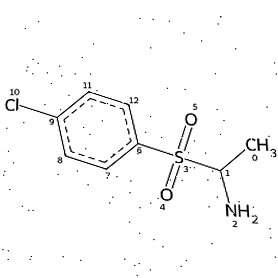 CC(N)S(=O)(=O)c1ccc(Cl)cc1